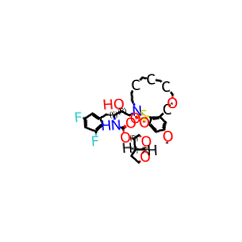 COc1ccc2c(c1)COCCCCCCCCN(C[C@@H](O)[C@H](Cc1cc(F)cc(F)c1)NC(=O)O[C@H]1CO[C@H]3OCC[C@H]31)S2(=O)=O